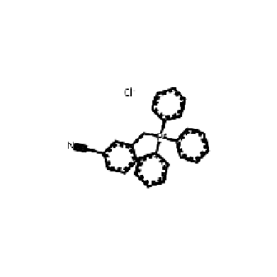 N#Cc1cccc(C[P+](c2ccccc2)(c2ccccc2)c2ccccc2)c1.[Cl-]